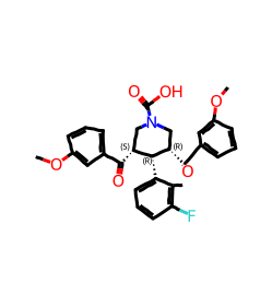 COc1cccc(C(=O)[C@H]2CN(C(=O)O)C[C@@H](C(=O)c3cccc(OC)c3)[C@H]2c2cccc(F)c2C)c1